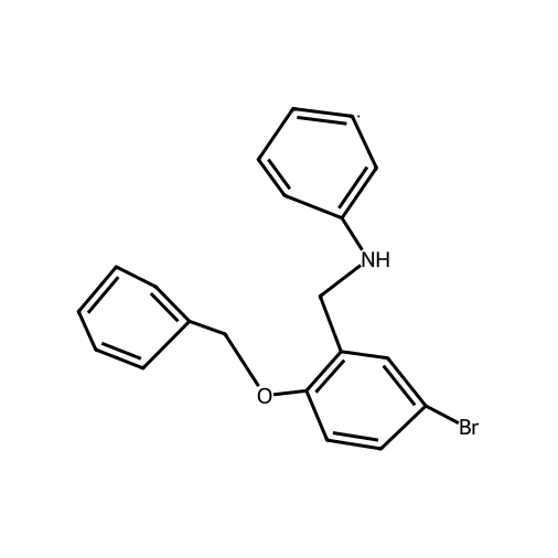 Brc1ccc(OCc2ccccc2)c(CNc2c[c]ccc2)c1